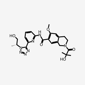 COc1cc2c(cc1C(=O)Nc1cccc(-c3nnnn3[C@H](C)CO)n1)CN(C(=O)C(C)(C)O)CC2